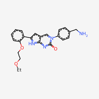 CCOCCOc1ccccc1-c1cc2cn(-c3ccc(CN)cc3)c(=O)nc2[nH]1